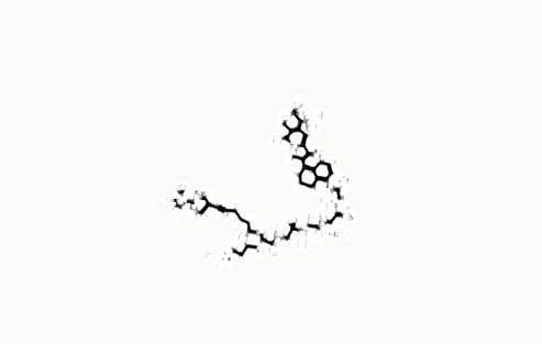 CC[C@@]1(O)C(=O)OCc2c1cc1n(c2=O)Cc2c-1nc1ccc(NC(=O)[C@H](C)NC(=O)[C@@H](NC(=O)CNC(=O)CNC(=O)[C@H](CCCCN)NC(=O)CCCC#Cc3cnc(S(C)(=O)=O)nc3)C(C)C)c3c1c2CCC3